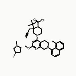 Cc1cccc2cccc(N3CCc4c(nc(OC[C@@H]5C[C@@H](F)CN5C)nc4N4CCN(C(=O)O)[C@@](CC#N)(C(C)(C)C)C4)C3)c12